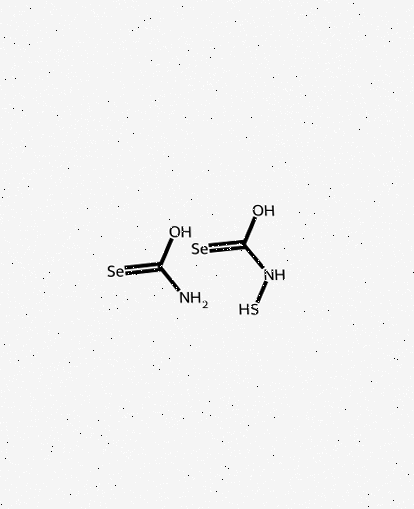 NC(O)=[Se].OC(=[Se])NS